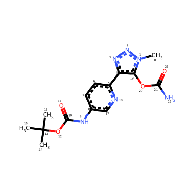 Cn1nnc(-c2ccc(NC(=O)OC(C)(C)C)cn2)c1OC(N)=O